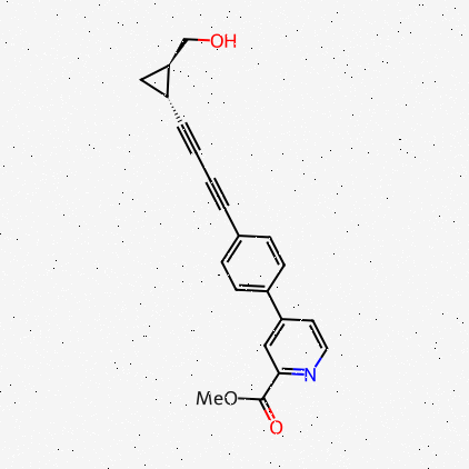 COC(=O)c1cc(-c2ccc(C#CC#C[C@@H]3C[C@H]3CO)cc2)ccn1